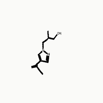 CC(CO)Cn1cc(C(C)C)cn1